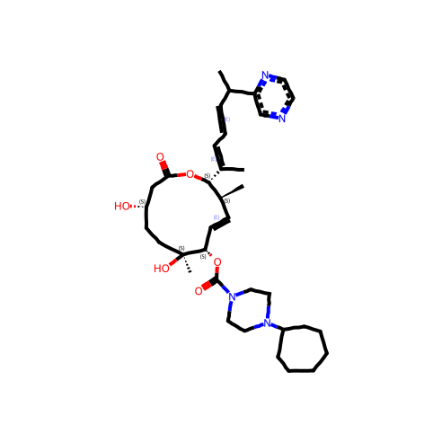 C/C(=C\C=C\C(C)c1cnccn1)[C@H]1OC(=O)C[C@@H](O)CC[C@](C)(O)[C@@H](OC(=O)N2CCN(C3CCCCCC3)CC2)/C=C/[C@@H]1C